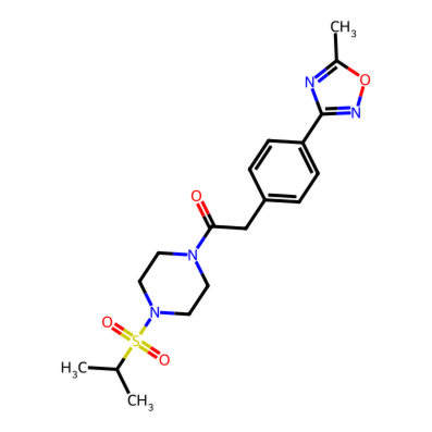 Cc1nc(-c2ccc(CC(=O)N3CCN(S(=O)(=O)C(C)C)CC3)cc2)no1